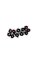 c1ccc([Si]2(c3ccccc3)c3ccccc3N(c3cccc4c3Oc3cccc5c3B4c3cccc(N4c6ccccc6[Si](c6ccccc6)(c6ccccc6)c6ccccc64)c3O5)c3ccccc32)cc1